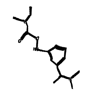 CCN(C)C(=O)ONc1cccc(C(C)N(C)C)c1